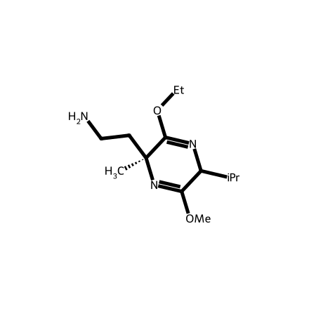 CCOC1=NC(C(C)C)C(OC)=N[C@@]1(C)CCN